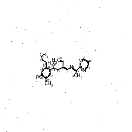 C=C/C(=C\N=C(/C)c1ncccn1)CC(C)c1cc(C)c(F)cc1CCC